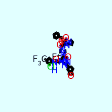 CCc1c(N2CCN(C(=O)c3nc4n(c(=O)c3OCc3ccccc3)CCC4)CC2)c(=O)n2nc(-c3ccc4c(c3)COC4)nc2n1CC(=O)Nc1ccc(C(F)(F)F)cc1Cl